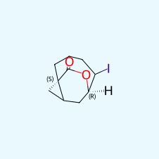 O=C1O[C@@H]2CC3C[C@]13CCCC2I